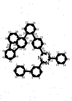 c1ccc(-c2cccc(-c3nc(-c4ccccc4)nc(-c4ccc(-c5ccccc5-c5ccc6c7c(cccc57)-c5ccccc5-6)cc4)n3)c2)cc1